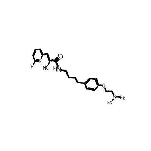 CCN(CC)CCOc1ccc(CCCCNC(=O)/C(C#N)=C/c2cccc(F)n2)cc1